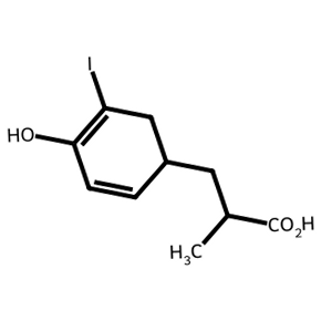 CC(CC1C=CC(O)=C(I)C1)C(=O)O